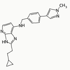 Cn1cc(-c2ccc(CNc3ccnc4[nH]c(CCC5CC5)nc34)cc2)cn1